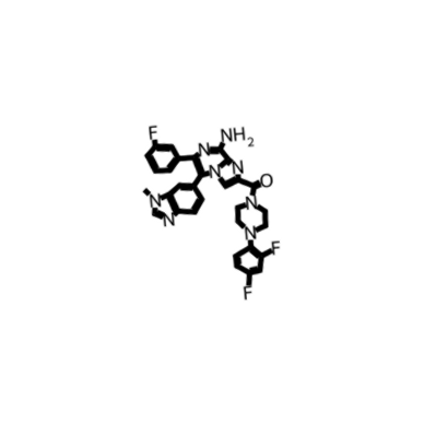 Cn1cnc2ccc(-c3c(-c4cccc(F)c4)nc(N)c4nc(C(=O)N5CCN(c6ccc(F)cc6F)CC5)cn34)cc21